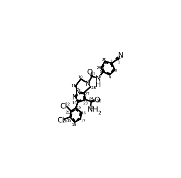 N#Cc1ccc(NC(=O)N2CCn3nc(-c4cccc(Cl)c4Cl)c(C(N)=O)c3C2)cc1